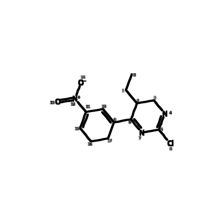 CCC1CN=C(Cl)N=C1C1=CC([N+](=O)[O-])=CCC1